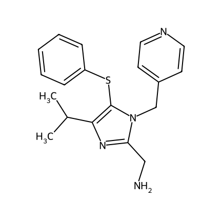 CC(C)c1nc(CN)n(Cc2ccncc2)c1Sc1ccccc1